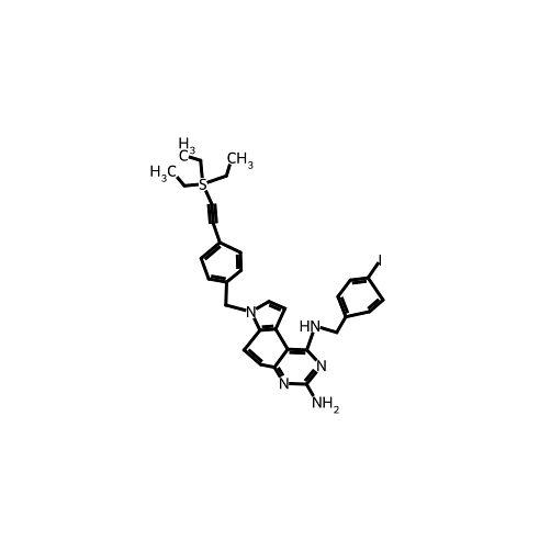 CCS(C#Cc1ccc(Cn2ccc3c4c(NCc5ccc(I)cc5)nc(N)nc4ccc32)cc1)(CC)CC